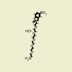 Cl.NCCOCCOCCOCCOCCOCC[N+]1([O-])Cc2cc([N+](=O)[O-])ccc2S1